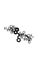 CC(C)(C)NS(=O)(=O)c1ccc(-c2sc(C(=O)NCC(C)(C)c3noc(=O)[nH]3)nc2CC2CCCCC2)c2ccccc12